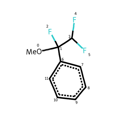 COC(F)([C](F)F)c1ccccc1